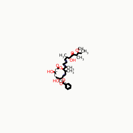 CCC(OC)C(C)C1OC1C(O)C(C)/C=C/C=C(\C)C1OC(=O)CC(O)CCC(C)(O)C(OC(=O)c2ccccc2)/C=C/C1C